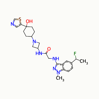 CC(F)c1ccc2c(c1)c(NCC(=O)NC1CN(C3CCC(O)(c4cncs4)CC3)C1)nn2C